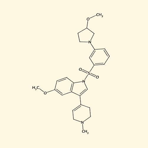 COc1ccc2c(c1)c(C1=CCN(C)CC1)cn2S(=O)(=O)c1cccc(N2CCC(OC)C2)c1